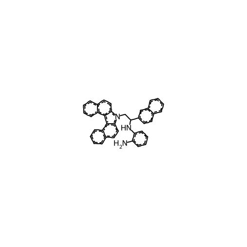 Nc1ccccc1NC(Cn1c2ccc3ccccc3c2c2c3ccccc3ccc21)c1ccc2ccccc2c1